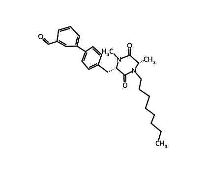 CCCCCCCCN1C(=O)[C@H](Cc2ccc(-c3cccc(C=O)c3)cc2)N(C)C(=O)[C@@H]1C